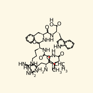 CC(C)C[C@H](NC(=O)[C@H](C)NC(=O)[C@@H](N)Cc1c[nH]cn1)C(=O)N[C@@H](CCCNC(=N)N)C(=O)N[C@@H](Cc1ccccc1)C(=O)N[C@@H](Cc1c[nH]c2ccccc12)C(=O)O